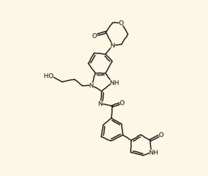 O=C(/N=c1\[nH]c2cc(N3CCOCC3=O)ccc2n1CCCO)c1cccc(-c2cc[nH]c(=O)c2)c1